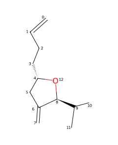 C=CCC[C@H]1CC(=C)[C@H](C(C)C)O1